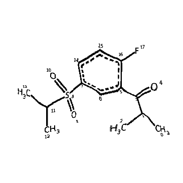 CC(C)C(=O)c1cc(S(=O)(=O)C(C)C)ccc1F